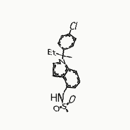 CCC(C)(c1ccc(Cl)cc1)n1ccc2c(NS(C)(=O)=O)cccc21